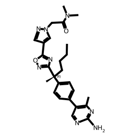 CCCC[C@](C)(c1ccc(-c2cnc(N)nc2C)cc1)c1noc(-c2cnn(CC(=O)N(C)C)c2)n1